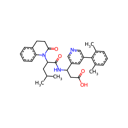 Cc1cccc(C)c1-c1cncc(C(CC(=O)O)NC(=O)C(CC(C)C)N2C(=O)CCc3ccccc32)c1